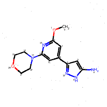 COc1cc(-c2cc(N)[nH]n2)cc(N2CCOCC2)n1